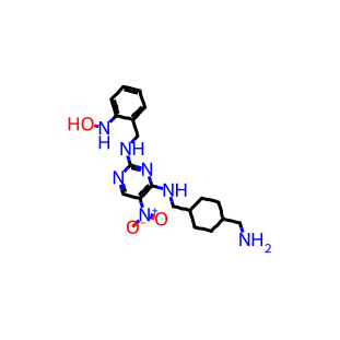 NCC1CCC(CNc2nc(NCc3ccccc3NO)ncc2[N+](=O)[O-])CC1